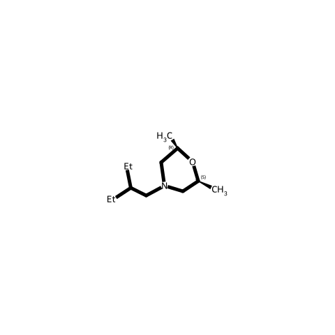 CCC(CC)CN1C[C@@H](C)O[C@@H](C)C1